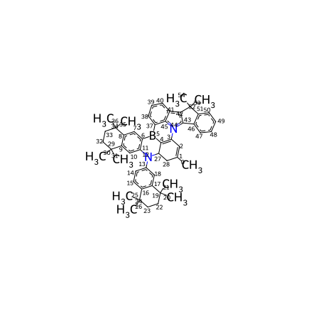 CC1=CC2=C3B(c4cc5c(cc4N(c4ccc6c(c4)C(C)(C)CCC6(C)C)C3C1)C(C)(C)CCC5(C)C)c1cccc3c4c(n2c13)-c1ccccc1C4(C)C